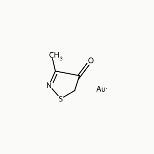 CC1=NSCC1=O.[Au]